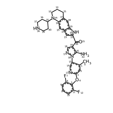 Cc1cc(Oc2c(F)cccc2F)ncc1-n1ncc(C(=O)c2cc3cc4c(cc3[nH]2)CCCN4C2CCNCC2)c1N